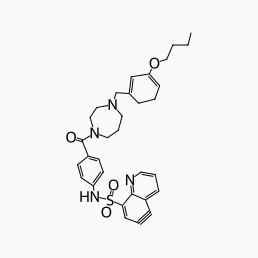 CCCCOC1=CCCC(CN2CCCN(C(=O)c3ccc(NS(=O)(=O)c4cc#cc5cccnc45)cc3)CC2)=C1